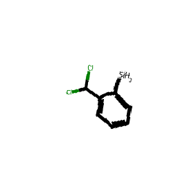 [SiH3]c1ccccc1C(Cl)Cl